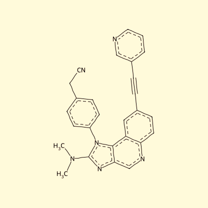 CN(C)c1nc2cnc3ccc(C#Cc4cccnc4)cc3c2n1-c1ccc(CC#N)cc1